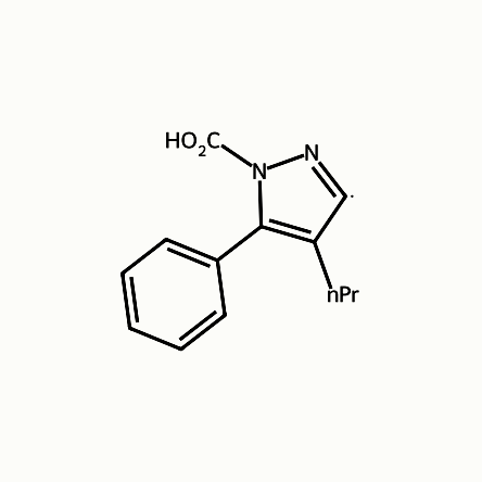 CCCc1[c]nn(C(=O)O)c1-c1ccccc1